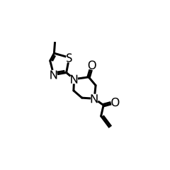 C=CC(=O)N1CCN(c2ncc(C)s2)C(=O)C1